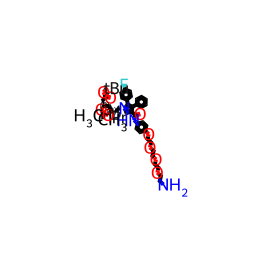 CC(C)c1c(C(=O)Nc2ccc(OCCOCCOCCOCCN)cc2)c(-c2ccccc2)c(-c2ccc(F)cc2)n1CC[C@@H]1C[C@H](CC(=O)OC(C)(C)C)OC(C)(C)O1